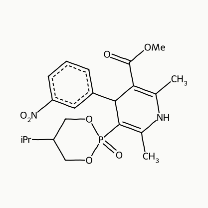 COC(=O)C1=C(C)NC(C)=C(P2(=O)OCC(C(C)C)CO2)C1c1cccc([N+](=O)[O-])c1